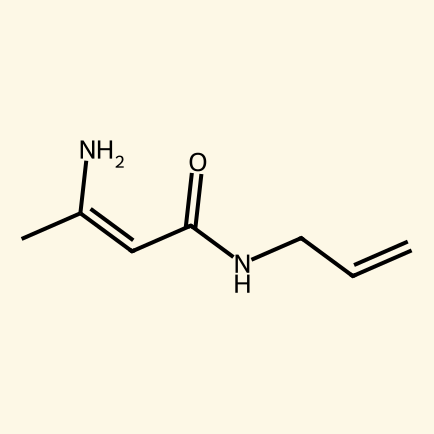 C=CCNC(=O)C=C(C)N